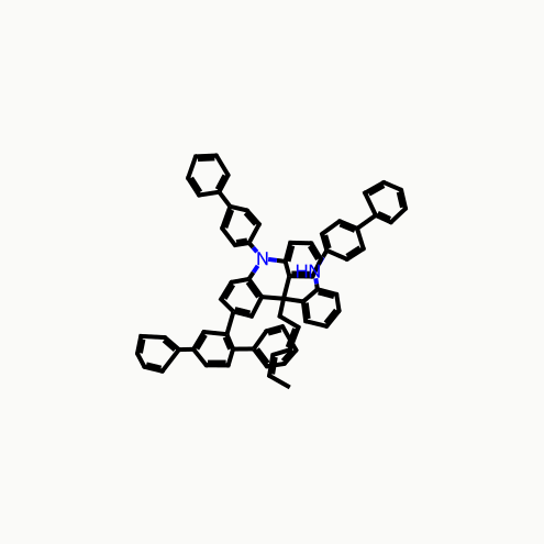 C/C=C\C=C/CC1(c2ccccc2Nc2ccc(-c3ccccc3)cc2)c2ccccc2N(c2ccc(-c3ccccc3)cc2)c2ccc(-c3cc(-c4ccccc4)ccc3-c3ccccc3)cc21